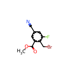 COC(=O)c1cc(C#N)cc(F)c1CBr